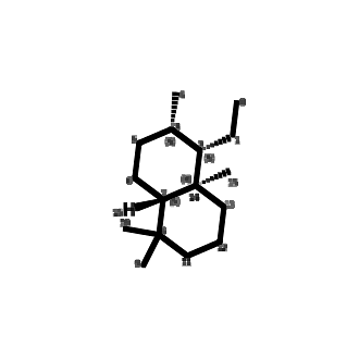 CC[C@H]1[C@@H](C)CC[C@H]2C(C)(C)CCC[C@]12C